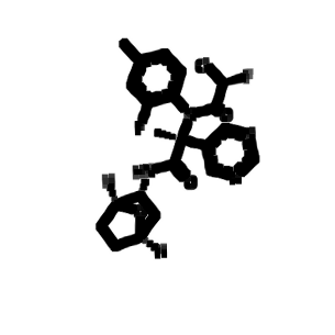 Cc1ccc(N(C(=O)[C@H](F)Cl)[C@](C)(C(=O)N[C@@H]2C[C@H]3CC[C@@H]2O3)c2cncnc2)c(F)c1